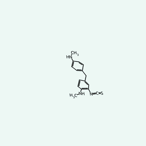 CNc1ccc(Cc2ccc(NC)c(N=C=S)c2)cc1